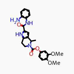 COc1ccc(OC(=O)N2CCc3[nH]c(C(=O)Nc4ccccc4N)cc3C2C)cc1OC